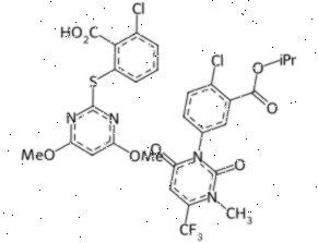 CC(C)OC(=O)c1cc(-n2c(=O)cc(C(F)(F)F)n(C)c2=O)ccc1Cl.COc1cc(OC)nc(Sc2cccc(Cl)c2C(=O)O)n1